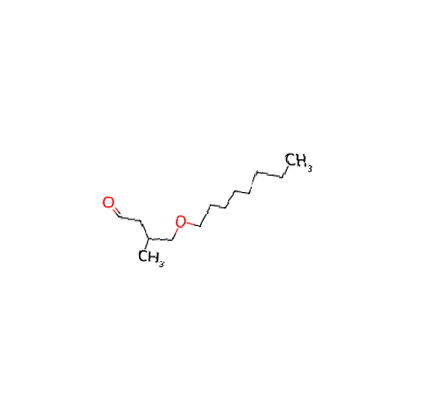 CCCCCCCCOCC(C)CC=O